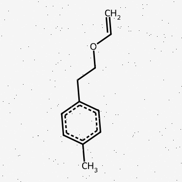 C=COCCc1ccc(C)cc1